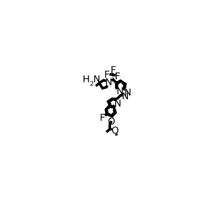 COC(C)COc1cc2nc(-c3nnc4ccc([C@H](N5CCC(C)(N)C5)C(F)(F)F)cn34)ccc2cc1F